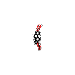 COCOc1ccc2c(c1)CC[C@@H]1C2CC[C@@]2(C)C1CC[C@@H]2OCOC